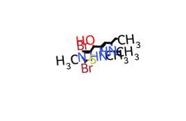 CCC(/C=C(\NC)C(O)C1=C(Br)N(C)C(Br)S1)NC